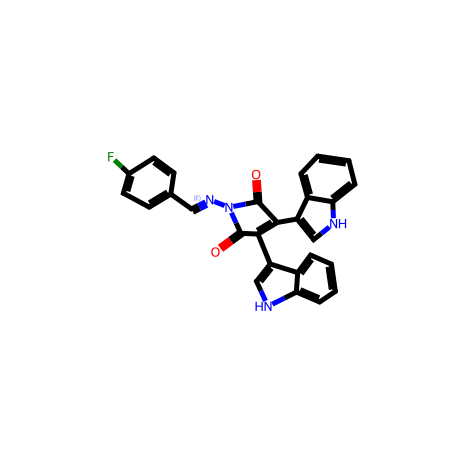 O=C1C(c2c[nH]c3ccccc23)=C(c2c[nH]c3ccccc23)C(=O)N1/N=C/c1ccc(F)cc1